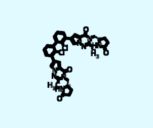 Cc1nn2cc(-c3cccc(-c4cccc(-c5cc6c(=O)n(C[C@@H]7CCC(=O)N7)c(C)nn6c5)c4Cl)c3Cl)cc2c(=O)n1C[C@@H]1CCC(=O)N1